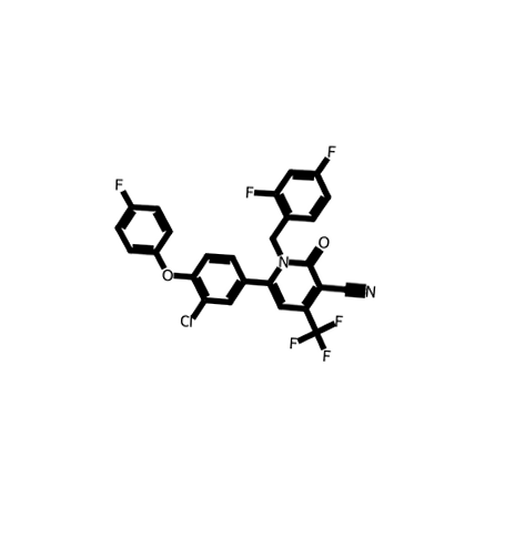 N#Cc1c(C(F)(F)F)cc(-c2ccc(Oc3ccc(F)cc3)c(Cl)c2)n(Cc2ccc(F)cc2F)c1=O